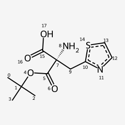 CC(C)(C)OC(=O)[C@](N)(Cc1nccs1)C(=O)O